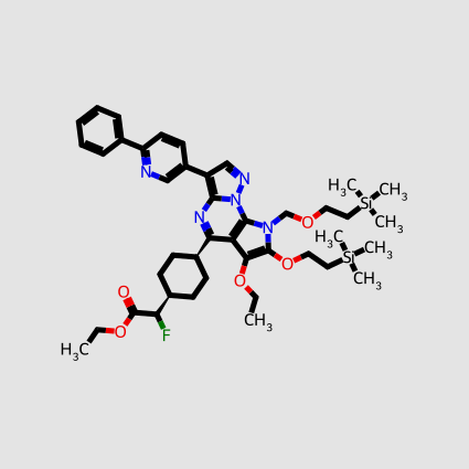 CCOC(=O)C(F)[C@H]1CC[C@@H](c2nc3c(-c4ccc(-c5ccccc5)nc4)cnn3c3c2c(OCC)c(OCC[Si](C)(C)C)n3COCC[Si](C)(C)C)CC1